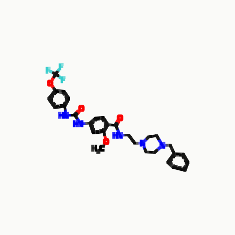 COc1cc(NC(=O)Nc2ccc(OC(F)(F)F)cc2)ccc1C(=O)NCCN1CCN(Cc2ccccc2)CC1